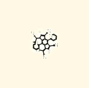 N#CC(C#N)=C1C(F)=C(C#N)c2c1c(-c1ccccn1)c1c(c2-c2ccccn2)C(C#N)=C(F)C1C(C#N)C#N